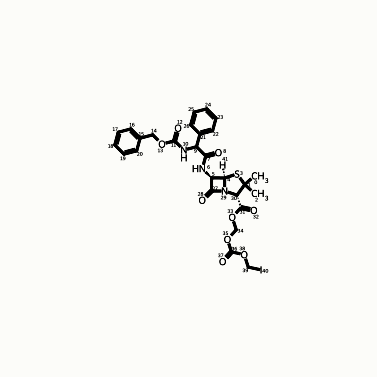 CC1(C)S[C@@H]2[C@H](NC(=O)C(NC(=O)OCc3ccccc3)c3ccccc3)C(=O)N2[C@H]1C(=O)OCOC(=O)OCI